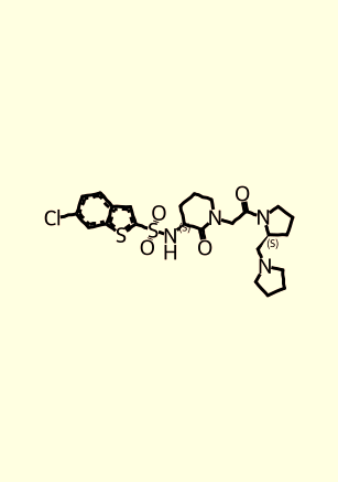 O=C1[C@@H](NS(=O)(=O)c2cc3ccc(Cl)cc3s2)CCCN1CC(=O)N1CCC[C@H]1CN1CCCC1